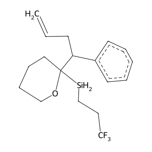 C=CCC(c1ccccc1)C1([SiH2]CCC(F)(F)F)CCCCO1